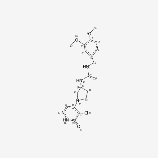 COc1ccc(CNC(=O)N[C@@H]2CCN(c3cn[nH]c(=O)c3Cl)C2)cc1OC